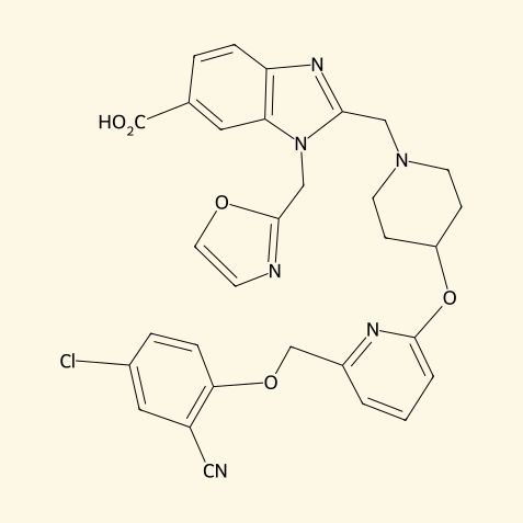 N#Cc1cc(Cl)ccc1OCc1cccc(OC2CCN(Cc3nc4ccc(C(=O)O)cc4n3Cc3ncco3)CC2)n1